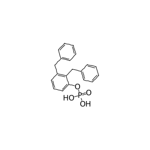 O=P(O)(O)Oc1cccc(Cc2ccccc2)c1Cc1ccccc1